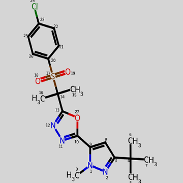 Cn1nc(C(C)(C)C)cc1-c1nnc(C(C)(C)S(=O)(=O)c2ccc(Cl)cc2)o1